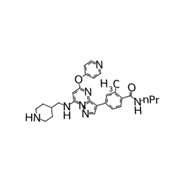 CCCNC(=O)c1ccc(-c2cnn3c(NCC4CCNCC4)cc(Oc4ccncc4)nc23)cc1C